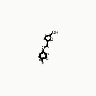 OC1CCC(COc2ccc(F)cc2)O1